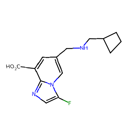 O=C(O)c1cc(CNCC2CCC2)cn2c(F)cnc12